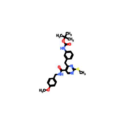 COc1ccc(CNC(=O)c2cnc(SC)nc2Cc2cccc(NC(=O)OC(C)(C)C)c2)cc1